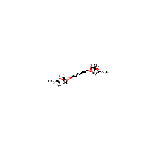 C=C(OC(C)(C)C(=O)OCCCCCCCCOC(=O)C(C)(C)OC(=C)C(=O)OCC)C(=O)OCC